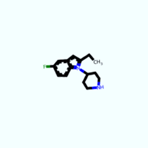 CCc1cc2cc(F)ccc2n1C1CCNCC1